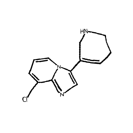 Clc1cccn2c(C3=CCCNC3)cnc12